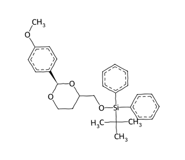 COc1ccc([C@@H]2OCCC(CO[Si](c3ccccc3)(c3ccccc3)C(C)(C)C)O2)cc1